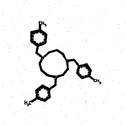 Cc1ccc(CN2CCCN(Cc3ccc(C)cc3)CCN(Cc3ccc(C)cc3)CCC2)cc1